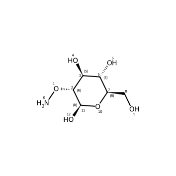 NO[C@@H]1[C@@H](O)[C@H](O)[C@@H](CO)O[C@H]1O